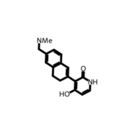 CNCc1ccc2c(c1)CCC(c1c(O)cc[nH]c1=O)=C2